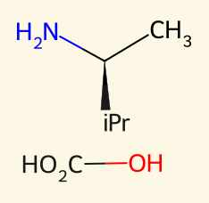 CC(C)[C@H](C)N.O=C(O)O